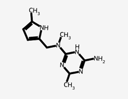 Cc1ccc(CN(C)C2=NC(C)N=C(N)N2)[nH]1